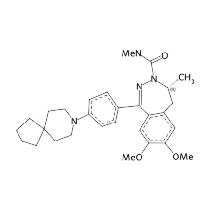 CNC(=O)N1N=C(c2ccc(N3CCC4(CCCC4)CC3)cc2)c2cc(OC)c(OC)cc2C[C@H]1C